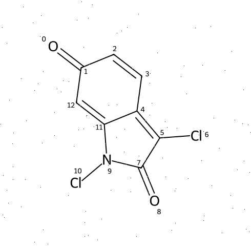 O=C1C=CC2=C(Cl)C(=O)N(Cl)C2=C1